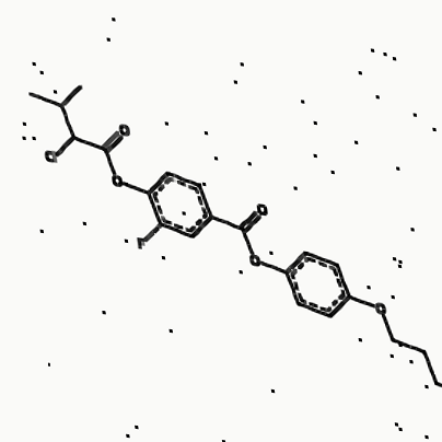 CCCCCOc1ccc(OC(=O)c2ccc(OC(=O)C(Cl)C(C)C)c(F)c2)cc1